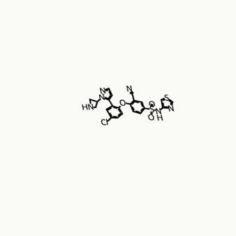 N#Cc1cc(S(=O)(=O)Nc2cscn2)ccc1Oc1ccc(Cl)cc1-c1ccnn1C1CNC1